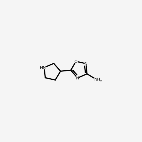 Nc1noc(C2CCNC2)n1